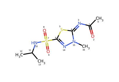 CC(=O)/N=c1/sc(S(=O)(=O)NC(C)C)nn1C